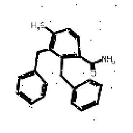 Cc1ccc(C(N)=O)c(Cc2ccccc2)c1Cc1ccccc1